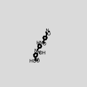 O=C(Nc1ccc(-c2nc3ccc([N+](=O)O)cc3n2O)cc1)c1ccc(-c2cnco2)cc1